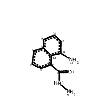 NNC(=O)c1cccc2cccc(N)c12